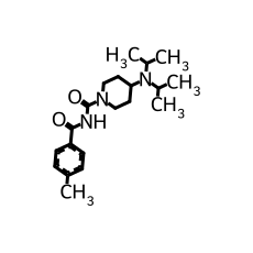 Cc1ccc(C(=O)NC(=O)N2CCC(N(C(C)C)C(C)C)CC2)cc1